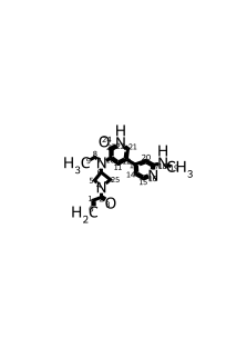 C=CC(=O)N1CC(N(CC)c2cc(-c3ccnc(NC)c3)c[nH]c2=O)C1